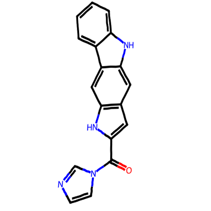 O=C(c1cc2cc3[nH]c4ccccc4c3cc2[nH]1)n1ccnc1